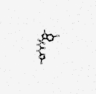 Cn1cc(S(=O)(=O)NC(=O)Nc2ncc(Br)s2)c2ccc(C#N)cc21